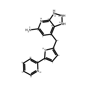 Nc1cc(Cc2ccc(-c3ccccn3)s2)c2c(n1)NNN2